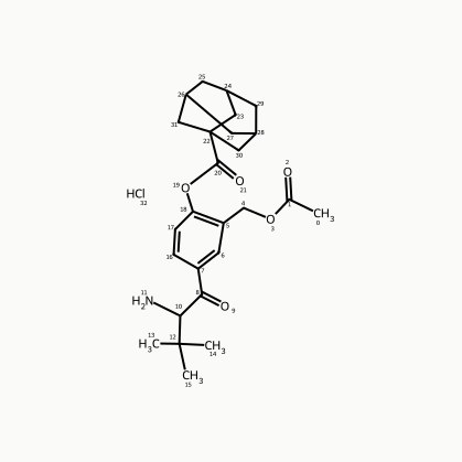 CC(=O)OCc1cc(C(=O)C(N)C(C)(C)C)ccc1OC(=O)C12CC3CC(CC(C3)C1)C2.Cl